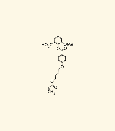 C=CC(=O)OCCCCOc1ccc(C(=O)Oc2c(OC)cccc2C(=O)O)cc1